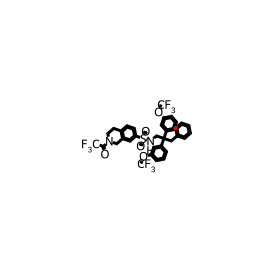 O=C(N1CCc2ccc(S(=O)(=O)NCC(Cc3ccccc3)(c3cccc(OC(F)(F)F)c3)c3cccc(OC(F)(F)F)c3)cc2C1)C(F)(F)F